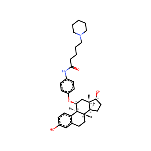 C[C@]12C[C@H](Oc3ccc(NC(=O)CCCCN4CCCCC4)cc3)[C@@H]3c4ccc(O)cc4CC[C@H]3[C@@H]1CC[C@@H]2O